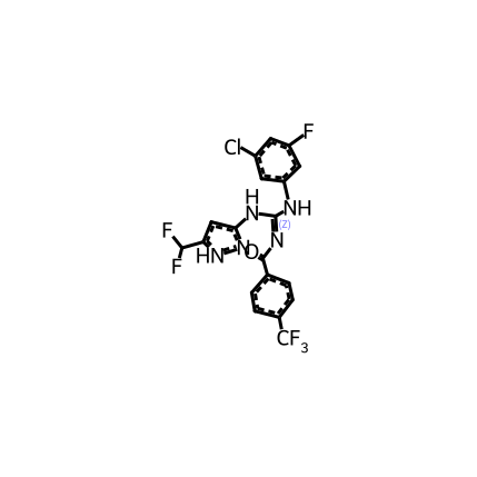 O=C(/N=C(/Nc1cc(F)cc(Cl)c1)Nc1cc(C(F)F)[nH]n1)c1ccc(C(F)(F)F)cc1